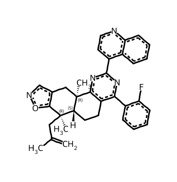 C=C(C)C[C@@]1(C)c2oncc2C[C@@]2(C)c3nc(-c4ccnc5ccccc45)nc(-c4ccccc4F)c3CC[C@@H]21